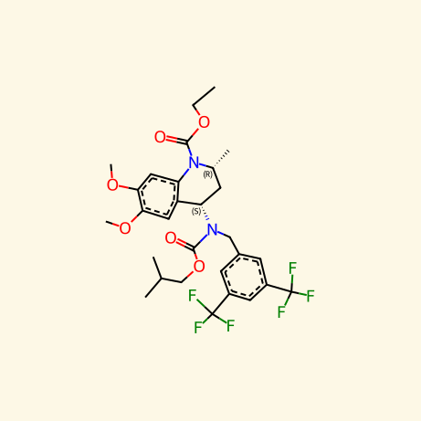 CCOC(=O)N1c2cc(OC)c(OC)cc2[C@@H](N(Cc2cc(C(F)(F)F)cc(C(F)(F)F)c2)C(=O)OCC(C)C)C[C@H]1C